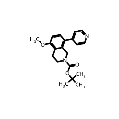 COc1ccc(-c2ccncc2)c2c1CCN(C(=O)OC(C)(C)C)C2